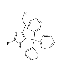 CC(=O)CCc1nc(F)[nH]c1C(c1ccccc1)(c1ccccc1)c1ccccc1